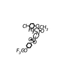 CC(C)(Oc1ccc(Cl)cc1F)C(=O)N1CCN(S(=O)(=O)c2ccc(OC(F)(F)F)cc2)CC1